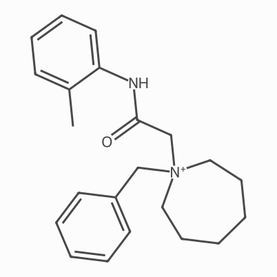 Cc1ccccc1NC(=O)C[N+]1(Cc2ccccc2)CCCCCC1